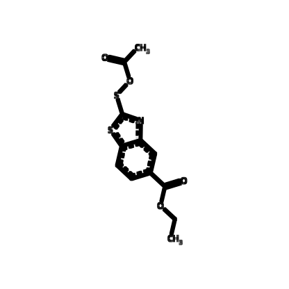 CCOC(=O)c1ccc2sc(SOC(C)=O)nc2c1